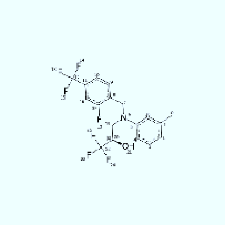 Cc1cccc(N(Cc2ccc(C(F)(F)F)cc2F)C[C@@H](O)C(F)(F)F)c1